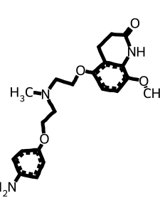 COc1ccc(OCCN(C)CCOc2ccc(N)cc2)c2c1NC(=O)CC2